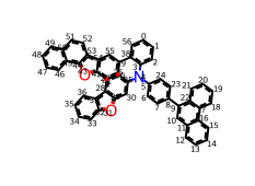 c1ccc(N(c2ccc(-c3cc4ccccc4c4ccccc34)cc2)c2ccc3c(c2)oc2ccccc23)c(-c2ccc3oc4c5ccccc5ccc4c3c2)c1